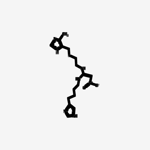 Cc1nc[nH]c1CSCCNC(=C[N+](=O)[O-])NCCCCc1c[nH]cn1